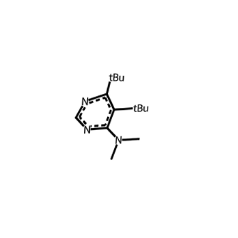 CN(C)c1ncnc(C(C)(C)C)c1C(C)(C)C